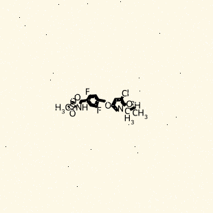 [2H]C(C)(C)Oc1ncc(OCc2cc(F)c(C(=O)NS(C)(=O)=O)cc2F)cc1Cl